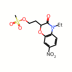 CCN1C(=O)C(CCOS(C)(=O)=O)Oc2cc([N+](=O)[O-])ccc21